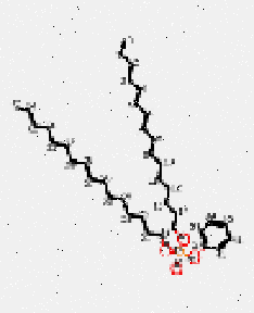 CCCCCCCCCCCCCCCCOP(=O)(OCCCCCCCCCCCCCCCC)Oc1ccccc1